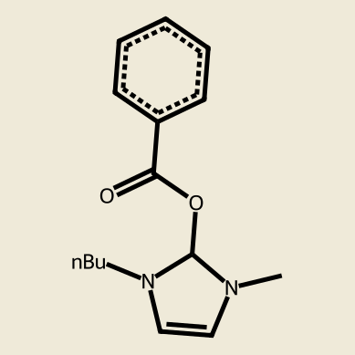 CCCCN1C=CN(C)C1OC(=O)c1ccccc1